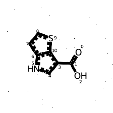 O=C(O)c1c[nH]c2ccsc12